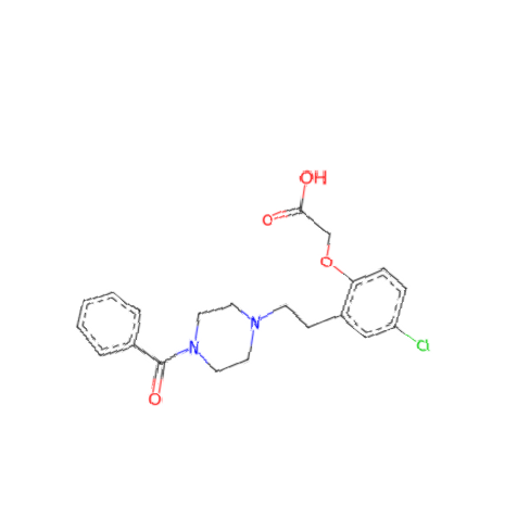 O=C(O)COc1ccc(Cl)cc1CCN1CCN(C(=O)c2ccccc2)CC1